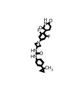 CC1(c2ccc(NC(=O)NC3CN(c4cc(F)c(C5CCC(=O)NC5=O)c(F)c4)C3)cc2)CC1